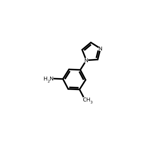 Cc1cc(N)cc(-n2ccnc2)c1